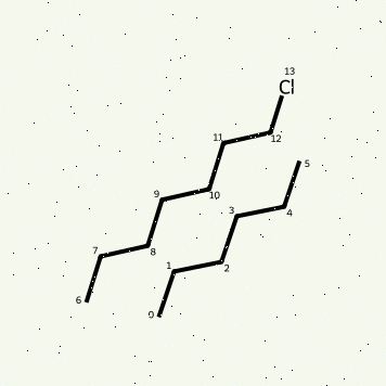 CCCCCC.CCCCCCCCl